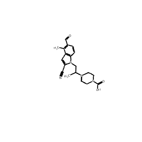 Cc1c(C=O)ccc2c1cc(C#N)n2CC(C)N1CCN(C(=O)O)CC1